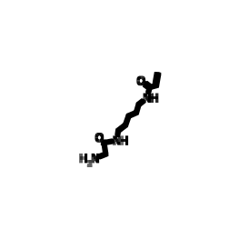 C=CC(=O)NCCCCCNC(=O)CN